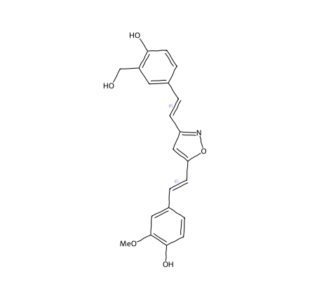 COc1cc(/C=C/c2cc(/C=C/c3ccc(O)c(CO)c3)no2)ccc1O